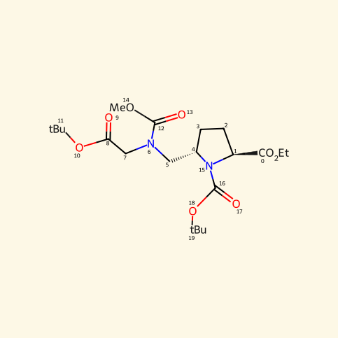 CCOC(=O)[C@@H]1CC[C@@H](CN(CC(=O)OC(C)(C)C)C(=O)OC)N1C(=O)OC(C)(C)C